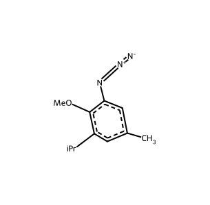 COc1c(N=[N+]=[N-])cc(C)cc1C(C)C